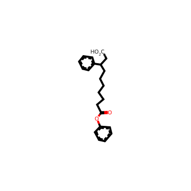 O=C(O)CC(CCCCCCC(=O)Oc1ccccc1)c1ccccc1